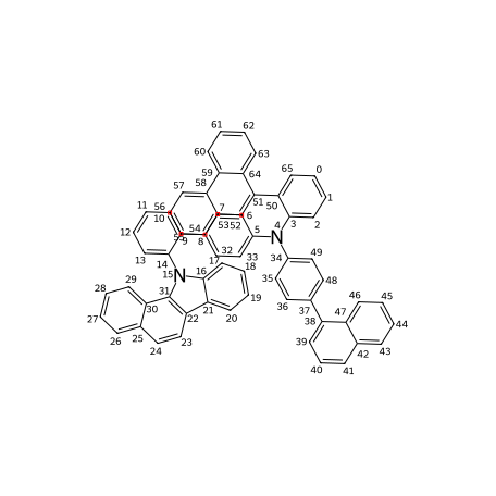 c1ccc(N(c2ccc(-c3ccccc3-n3c4ccccc4c4ccc5ccccc5c43)cc2)c2ccc(-c3cccc4ccccc34)cc2)c(-c2cc3ccccc3c3ccccc23)c1